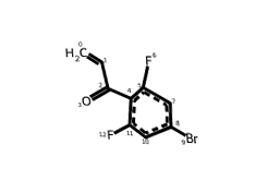 C=CC(=O)c1c(F)cc(Br)cc1F